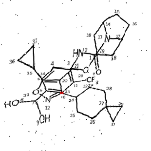 O=C(Nc1ccc(C(O)O)cc1C(F)(F)F)N1C2CCC1CC(OCc1c(C3CCC4(CC3)CC4)noc1C1CC1)C2